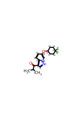 CC(C)C(=O)c1cnn2cc(OC3CCC(F)(F)CC3)ccc12